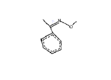 [CH2]/C(=N/OC)c1ccccc1